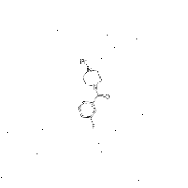 CC(C)N1CCN(C(=O)c2cccc(F)c2)CC1